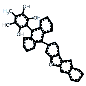 Cc1c(O)c(O)c(-c2c3ccccc3c(-c3ccc4c(c3)oc3cc5ccccc5cc34)c3ccccc23)c(O)c1O